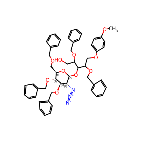 COc1ccc(OCC(OCc2ccccc2)C(O[C@@H]2O[C@H](COCc3ccccc3)[C@@H](OCc3ccccc3)[C@H](OCc3ccccc3)[C@H]2N=[N+]=[N-])C(CO)OCc2ccccc2)cc1